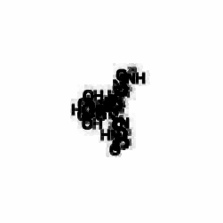 CCC1=Cc2ncc(CN3CCN(c4ccc(C(=O)NC)nc4)[C@H]4CC[C@H]43)cc2NC1=C=O.O=C(O)CC(O)(CC(=O)O)C(=O)O